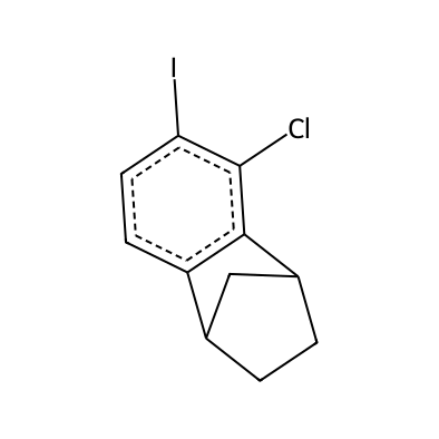 Clc1c(I)ccc2c1C1CCC2C1